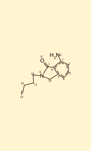 Nc1cccc2c1C(=O)N(CCCF)C2